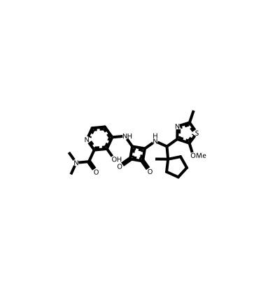 COc1sc(C)nc1C(Nc1c(Nc2ccnc(C(=O)N(C)C)c2O)c(=O)c1=O)C1(C)CCCC1